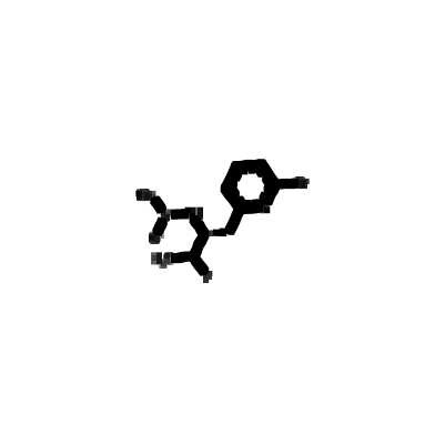 CC(F)[C@@H](Cc1cccc(Br)n1)N[S+]([O-])C(C)(C)C